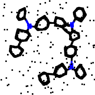 c1ccc(-c2ccc(N(c3ccccc3)c3ccc(-c4ccc5c(c4)c4cc(-c6ccc(N(c7ccccc7)c7ccc(-c8ccccc8)cc7)cc6)ccc4n5-c4ccccc4)cc3)cc2)cc1